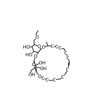 CCOCC1OC2OC(C)CCCCCC/C=C\CCCCCCCCOC3C(CO)OC(OC2C(O)C1O)C(O)C3O